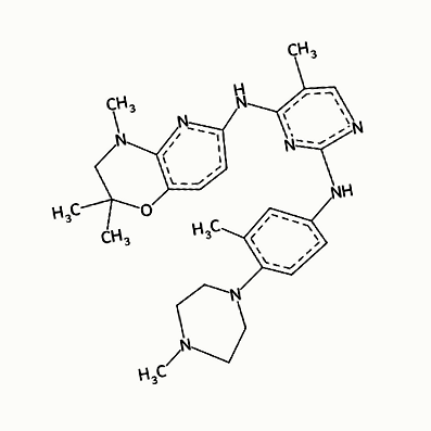 Cc1cc(Nc2ncc(C)c(Nc3ccc4c(n3)N(C)CC(C)(C)O4)n2)ccc1N1CCN(C)CC1